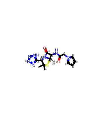 CC1(C)S[C@H]2C(NC(=O)Cn3cccc3)C(=O)N2C1c1nnn[nH]1